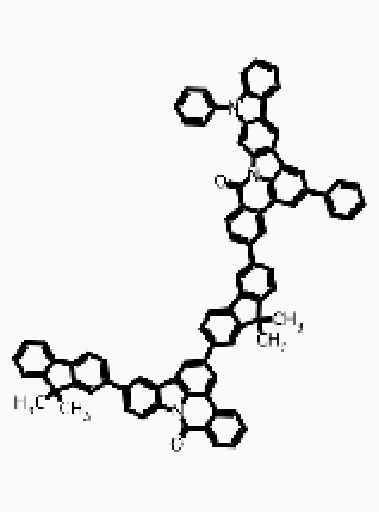 CC1(C)c2ccccc2-c2ccc(-c3ccc4c(c3)c3cc(-c5ccc6c(c5)C(C)(C)c5ccc(-c7ccc8c(=O)n9c%10cc%11c(cc%10c%10cc(-c%12ccccc%12)cc(c8c7)c%109)c7ccccc7n%11-c7ccccc7)cc5-6)cc5c6ccccc6c(=O)n4c53)cc21